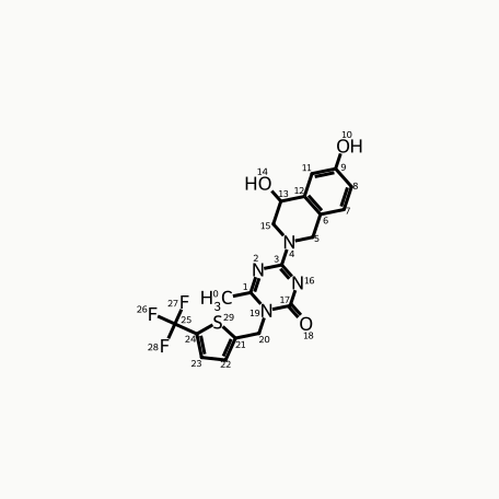 Cc1nc(N2Cc3ccc(O)cc3C(O)C2)nc(=O)n1Cc1ccc(C(F)(F)F)s1